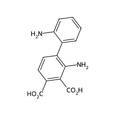 Nc1ccccc1-c1ccc(C(=O)O)c(C(=O)O)c1N